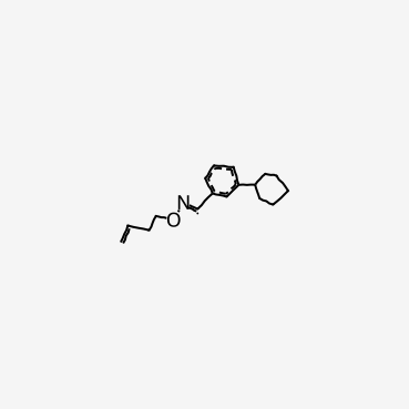 C=CCCON=[C]c1cccc(C2CCCCC2)c1